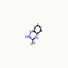 CC(C)C1=Nc2ccccc2CN1